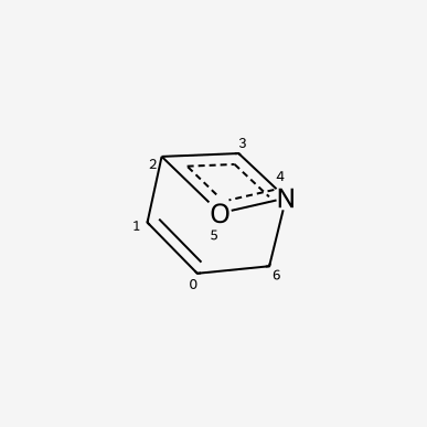 C1=Cc2cn(o2)C1